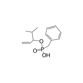 C=CC(OP(=O)(O)Cc1ccccc1)C(C)C